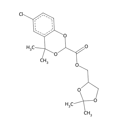 CC1(C)OCC(COC(=O)C2Oc3ccc(Cl)cc3C(C)(C)O2)O1